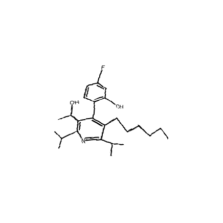 CCCCCCc1c(C(C)C)nc(C(C)C)c(C(C)O)c1-c1ccc(F)cc1O